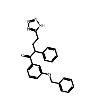 O=C(c1cccc(OCc2ccccc2)c1)C(CCc1nnn[nH]1)c1ccccc1